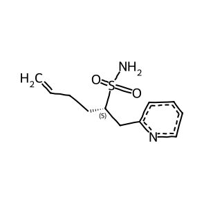 C=CCC[C@@H](Cc1ccccn1)S(N)(=O)=O